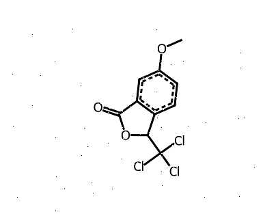 COc1ccc2c(c1)C(=O)OC2C(Cl)(Cl)Cl